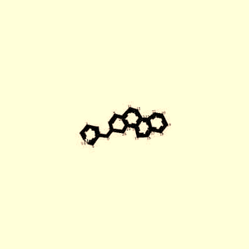 [CH](c1cccnc1)C1C=Cc2ccc3c(ccc4ccccc43)c2C1